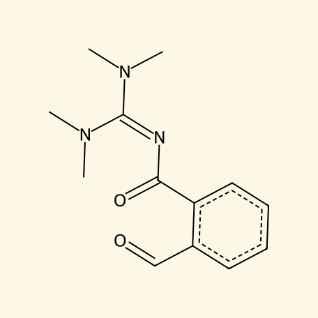 CN(C)C(=NC(=O)c1ccccc1C=O)N(C)C